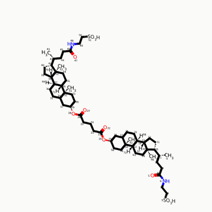 C[C@H](CCC(=O)NCCS(=O)(=O)O)[C@H]1CC[C@H]2[C@@H]3CCC4C[C@H](OC(=O)CCCC(=O)O[C@H]5CC[C@@]6(C)C(CC[C@H]7[C@@H]8CC[C@H]([C@H](C)CCC(=O)NCCS(=O)(=O)O)[C@@]8(C)CC[C@@H]76)C5)CC[C@]4(C)[C@H]3CC[C@]12C